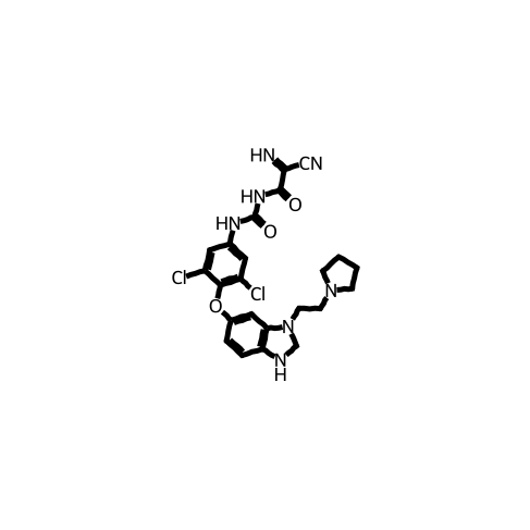 N#CC(=N)C(=O)NC(=O)Nc1cc(Cl)c(Oc2ccc3c(c2)N(CCN2CCCC2)CN3)c(Cl)c1